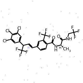 C[C@@H](NC(=O)c1ccc(/C=C/C(c2cc(Cl)c(Cl)c(Cl)c2)C(F)(F)F)cc1C(F)(F)F)C(=O)NCC(F)(F)F